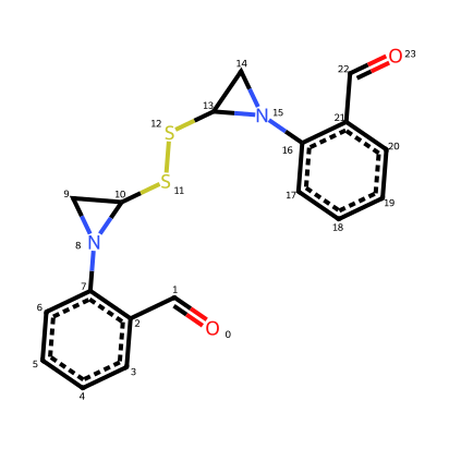 O=Cc1ccccc1N1CC1SSC1CN1c1ccccc1C=O